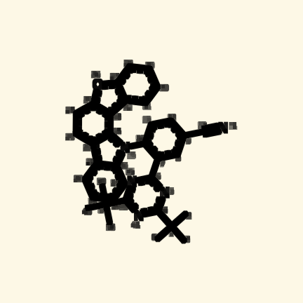 CC(C)(C)c1nc(-c2cc(C#N)ccc2-n2c3ccccc3c3ccc4oc5ccccc5c4c32)nc(C(C)(C)C)n1